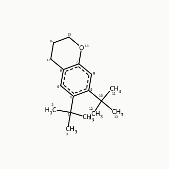 CC(C)(C)c1cc2c(cc1C(C)(C)C)OCCC2